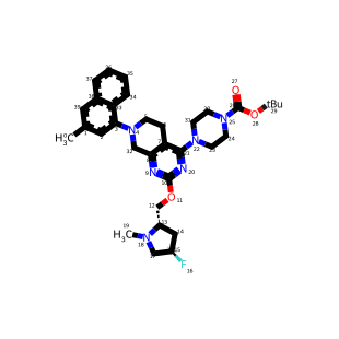 Cc1cc(N2CCc3c(nc(OC[C@@H]4C[C@@H](F)CN4C)nc3N3CCN(C(=O)OC(C)(C)C)CC3)C2)c2ccccc2c1